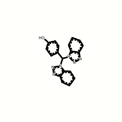 Oc1ccc(C(n2nnc3ccccc32)n2nnc3ccccc32)cc1